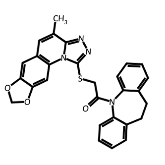 Cc1cc2cc3c(cc2n2c(SCC(=O)N4c5ccccc5CCc5ccccc54)nnc12)OCO3